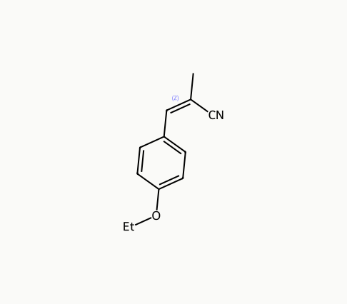 CCOc1ccc(/C=C(/C)C#N)cc1